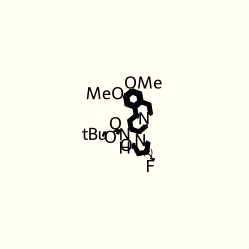 COc1cc2c(cc1OC)C1CC(NC(=O)OC(C)(C)C)C(N3C[C@H](CF)CC3=O)CN1CC2